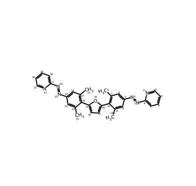 Cc1cc(N=Nc2ccccn2)cc(C)c1-c1ccc(-c2c(C)cc(N=Nc3ccccn3)cc2C)o1